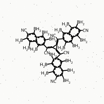 Bc1c(C(C#N)=C2C(=C(C#N)c3c(B)c(B)c4c(B)c(C#N)c(B)c(B)c4c3B)C2=C(C#N)c2c(B)c(B)c3c(B)c(C#N)c(B)c(B)c3c2B)c(B)c2c(B)c(B)c(C#N)c(B)c2c1B